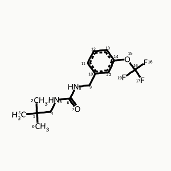 CC(C)(C)CNC(=O)NCc1cccc(OC(F)(F)F)c1